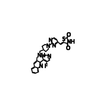 O=C1NC(=O)/C(=C/c2ccnc(N3CCC(CNCc4cc5ccccc5nc4-c4ccncc4F)CC3)n2)S1